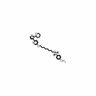 Cc1ccc(S(=O)(=O)OCCCCCCCCOc2ccc(-c3ccnn3C3CCCCO3)nc2)cc1